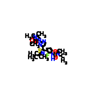 CCN(C)S(=O)(=O)Nc1cccc(-c2nc(C(C)(C)C)sc2-c2ccnc(NC[C@H](C)N(C)C(=O)OC)n2)c1F